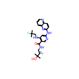 CC(C)(F)CNc1cc(Nc2ccc3ncccc3n2)ncc1C(=O)NC[C@@H](F)C(C)(C)O